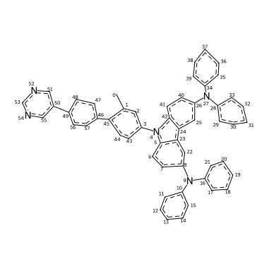 Cc1cc(-n2c3ccc(N(c4ccccc4)c4ccccc4)cc3c3cc(N(c4ccccc4)c4ccccc4)ccc32)ccc1-c1ccc(-c2cncnc2)cc1